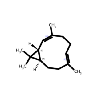 C/C1=C/[C@@H]2[C@@H](CC/C(C)=C/CC1)C2(C)C